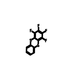 Fc1c(F)c(F)c2c(c1F)Sc1ccccc1S2